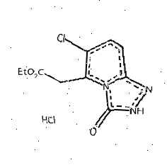 CCOC(=O)Cc1c(Cl)ccc2n[nH]c(=O)n12.Cl